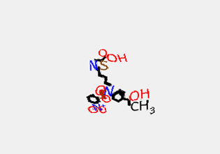 CCC(O)c1ccc(N(CCCCc2ncc(C(=O)O)s2)S(=O)(=O)c2cccc([N+](=O)[O-])c2)cc1